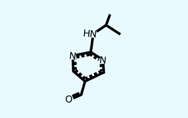 CC(C)Nc1ncc(C=O)cn1